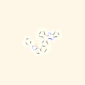 c1ccc(-c2nc3ccc4ccc5cc(-c6nc7ccccc7nc6-c6ccccc6)ccc5c4c3o2)cc1